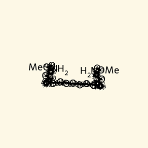 COC(=O)c1cc(C(=O)c2c(C)c(OCCOCCOCCOCCOCCOCCOc3c(C)c(C(=O)c4ccc(N)c(C(=O)OC)c4)c4ccccn34)n3ccccc23)ccc1N